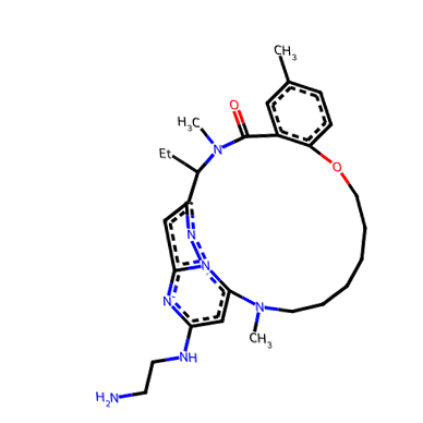 CCC1c2cc3nc(NCCN)cc(n3n2)N(C)CCCCCCOc2ccc(C)cc2C(=O)N1C